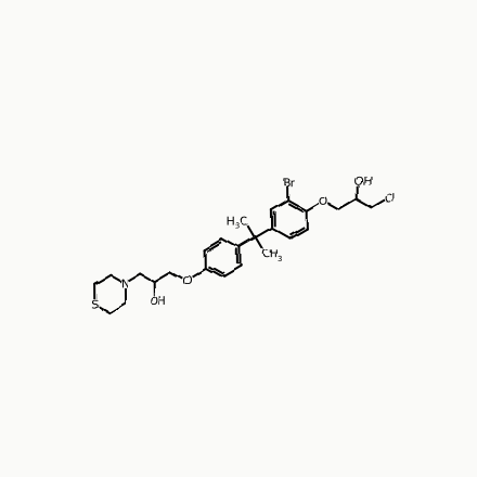 CC(C)(c1ccc(OCC(O)CN2CCSCC2)cc1)c1ccc(OCC(O)CCl)c(Br)c1